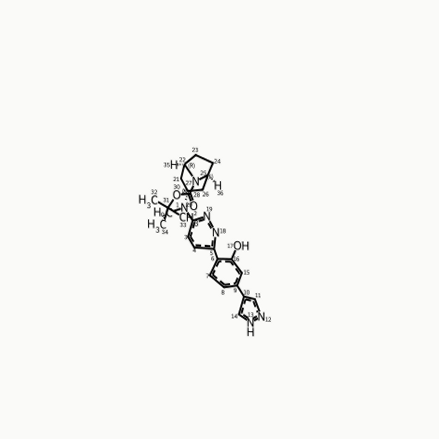 CN(c1ccc(-c2ccc(-c3cn[nH]c3)cc2O)nn1)[C@@H]1C[C@H]2CC[C@@H](C1)N2C(=O)OC(C)(C)C